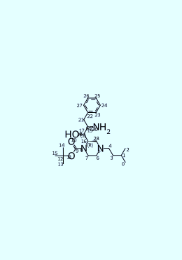 CC(C)CCN1CCN(C(=O)OC(C)(C)C)[C@@H]([C@@H](O)[C@H](N)Cc2ccccc2)C1